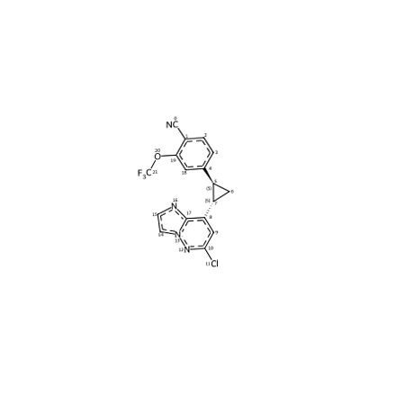 N#Cc1ccc([C@H]2C[C@@H]2c2cc(Cl)nn3ccnc23)cc1OC(F)(F)F